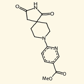 COC(=O)c1ccc(N2CCC3(CC2)CC(=O)NC3=O)nc1